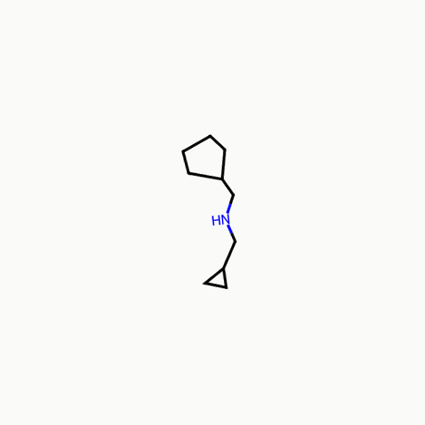 C1CCC(CNCC2CC2)C1